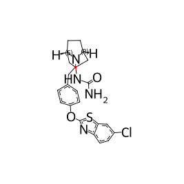 NC(=O)NC1C[C@H]2CC[C@@H](C1)N2CCc1ccc(Oc2nc3ccc(Cl)cc3s2)cc1